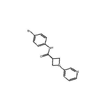 O=C(Nc1ccc(Br)cc1)C1CN(c2cccnc2)C1